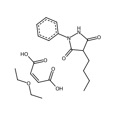 CCCCC1C(=O)NN(c2ccccc2)C1=O.CCOCC.O=C(O)/C=C\C(=O)O